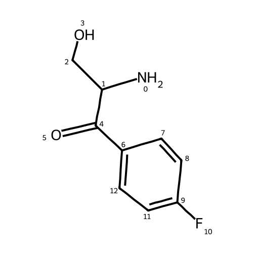 NC(CO)C(=O)c1ccc(F)cc1